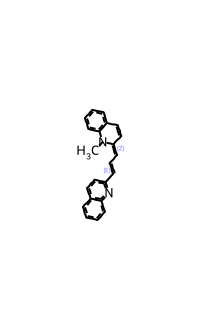 CN1/C(=C\C=C\c2ccc3ccccc3n2)C=Cc2ccccc21